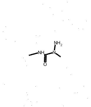 CNC(=O)N(C)N